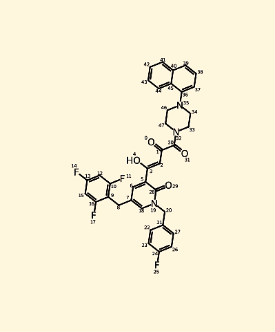 O=C(/C=C(\O)c1cc(Cc2c(F)cc(F)cc2F)cn(Cc2ccc(F)cc2)c1=O)C(=O)N1CCN(c2cccc3ccccc23)CC1